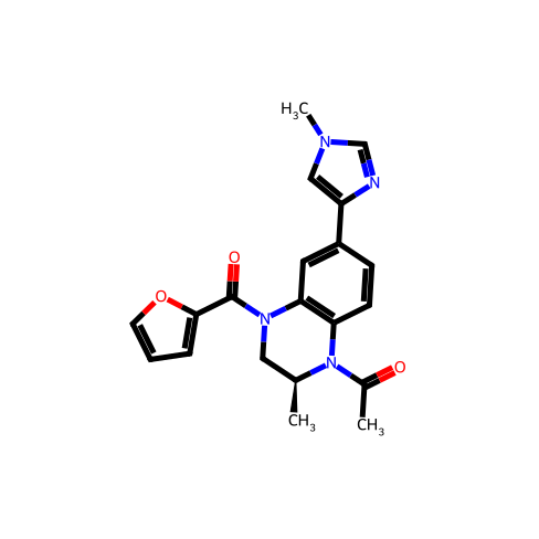 CC(=O)N1c2ccc(-c3cn(C)cn3)cc2N(C(=O)c2ccco2)C[C@@H]1C